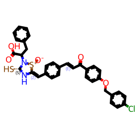 O=C(/C=C/c1ccc(/C=C2/N[C@H](S)N(C(Cc3ccccc3)C(=O)O)[S+]2[O-])cc1)c1ccc(OCc2ccc(Cl)cc2)cc1